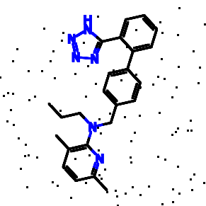 CCCN(Cc1ccc(-c2ccccc2-c2nnn[nH]2)cc1)c1nc(C)ccc1C